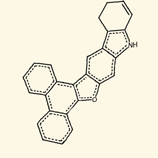 C1=Cc2[nH]c3cc4oc5c6ccccc6c6ccccc6c5c4cc3c2CC1